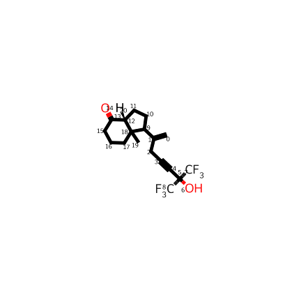 C=C(CC#CC(O)(C(F)(F)F)C(F)(F)F)C1CC[C@H]2C(=O)CCCC12C